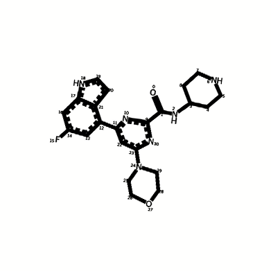 O=C(NC1CCNCC1)c1nc(-c2cc(F)cc3[nH]ccc23)cc(N2CCOCC2)n1